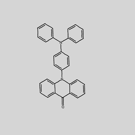 O=c1c2ccccc2n(-c2ccc(N(c3ccccc3)c3ccccc3)cc2)c2ccccc12